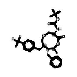 C[C@@H]1OC(=O)[C@@H](NC(=O)OC(C)(C)C)COC[C@H](Cc2ccc(C(F)(F)F)cc2)[C@H]1Cc1ccccc1